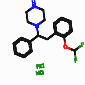 Cl.Cl.FC(F)Oc1ccccc1CC(c1ccccc1)N1CCNCC1